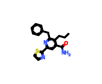 CCCc1c(C(N)=O)cc(-c2nccs2)nc1Cc1ccccc1